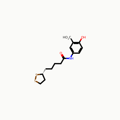 O=C(CCCC[C@@H]1CCSS1)Nc1ccc(O)c(C(=O)O)c1